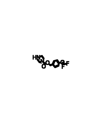 O=C(OCc1ccc(OC(F)F)cc1)N1CCNCC1